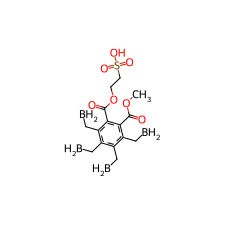 BCc1c(CB)c(CB)c(C(=O)OCCS(=O)(=O)O)c(C(=O)OC)c1CB